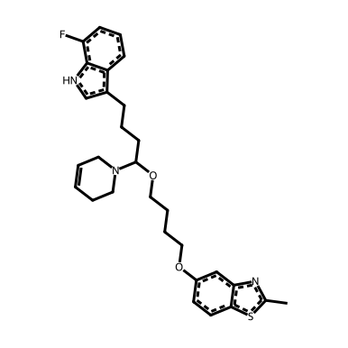 Cc1nc2cc(OCCCCOC(CCCc3c[nH]c4c(F)cccc34)N3CC=CCC3)ccc2s1